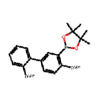 COc1ccc(-c2ccccc2OC)cc1B1OC(C)(C)C(C)(C)O1